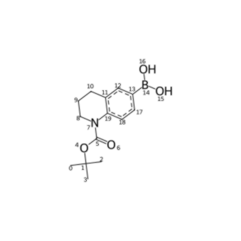 CC(C)(C)OC(=O)N1CCCc2cc(B(O)O)ccc21